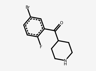 O=C(c1cc(Br)ccc1F)C1CCNCC1